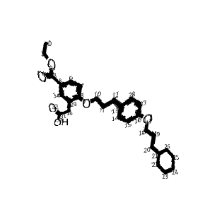 CCOC(=O)c1ccc(OCCCc2ccc(OCCCC3CCCCC3)cc2)c(CC(=O)O)c1